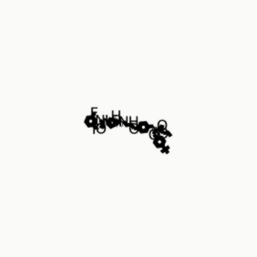 CCOC(=O)[C@H](Cc1ccc(OCCN[C@@H]2C3CN(C(=O)Nc4c(F)cccc4F)C[C@H]32)cc1)Oc1ccc(C(C)(C)C)cc1